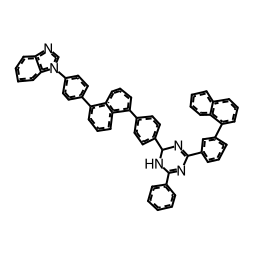 c1ccc(C2=NC(c3cccc(-c4cccc5ccccc45)c3)=NC(c3ccc(-c4cccc5c(-c6ccc(-n7cnc8ccccc87)cc6)cccc45)cc3)N2)cc1